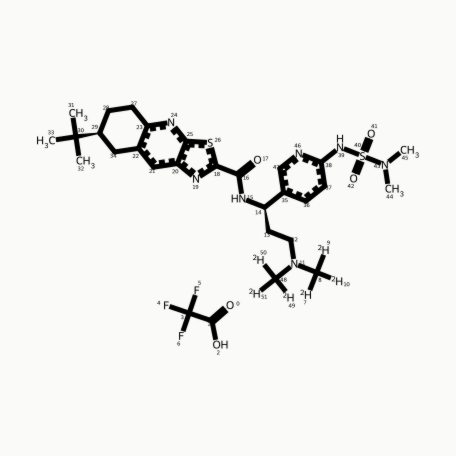 O=C(O)C(F)(F)F.[2H]C([2H])([2H])N(CC[C@@H](NC(=O)c1nc2cc3c(nc2s1)CC[C@H](C(C)(C)C)C3)c1ccc(NS(=O)(=O)N(C)C)nc1)C([2H])([2H])[2H]